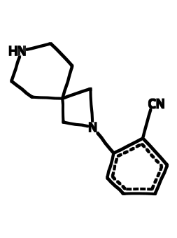 N#Cc1ccccc1N1CC2(CCNCC2)C1